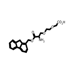 NC(COCCOCC(=O)O)C(=O)OCc1cccc2c1Cc1ccccc1-2